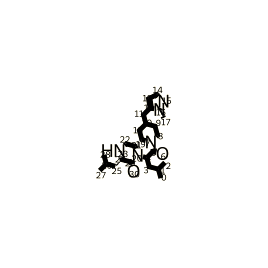 CC(C)CC(C(=O)N1CCC(Cc2ccnn2C)CC1)N1CCN[C@@H](CC(C)C)C1=O